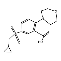 O=C(O)c1cc(S(=O)(=O)CC2CC2)ccc1N1CCOCC1